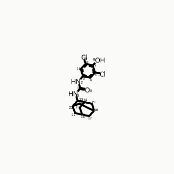 O=C(Nc1cc(Cl)c(O)c(Cl)c1)NC1C2CC3CC(C2)CC1C3